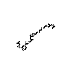 CC(C)CN(C)C[C@@H]1CN(CCNCC(C)CC(C)CNCCOCCOCCN2CC(NC(C)C)C2)CCO1